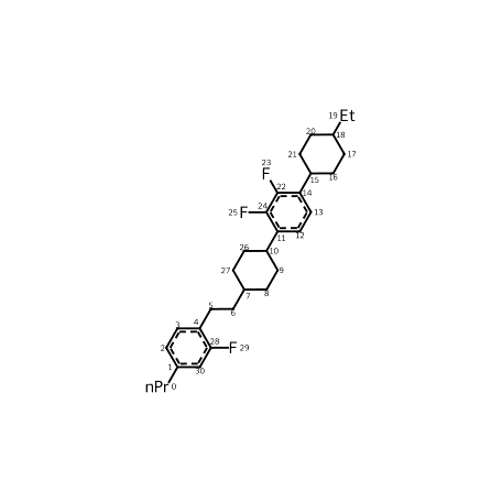 CCCc1ccc(CCC2CCC(c3ccc(C4CCC(CC)CC4)c(F)c3F)CC2)c(F)c1